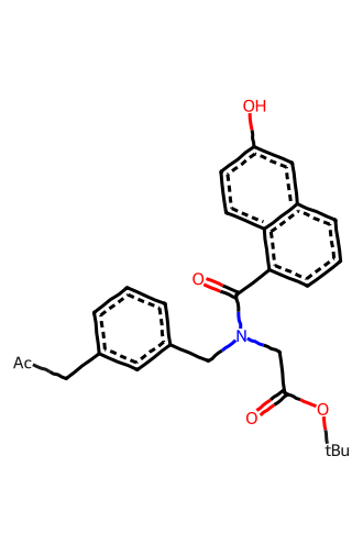 CC(=O)Cc1cccc(CN(CC(=O)OC(C)(C)C)C(=O)c2cccc3cc(O)ccc23)c1